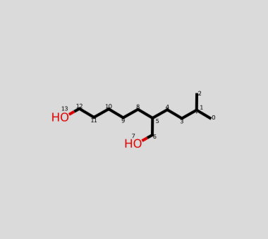 C[C](C)CCC(CO)CCCCCO